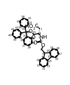 O=C(O)C[C@H](NC(=O)OCC1c2ccccc2-c2ccccc21)C(=O)OC(c1ccccc1)(c1ccccc1)c1ccccc1